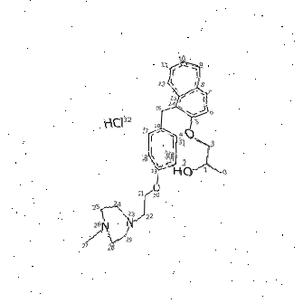 CC(O)COc1ccc2ccccc2c1Cc1ccc(OCCN2CCN(C)CC2)cc1.Cl